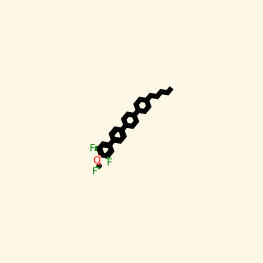 CCCCCC1CCC(C2CCC(c3ccc(-c4cc(F)c(OCF)c(F)c4)cc3)CC2)CC1